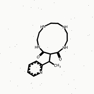 CC(c1ccccn1)C1C(=O)NCCNCCNCCNC1=O